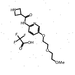 COCCOCCOc1ccc(NC(=O)C2CNC2)nc1.O=C(O)C(F)(F)F